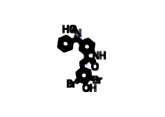 O=C1Nc2ccc(/C(=N/O)c3ccccc3)cc2/C1=C/c1cc(Br)c(O)c(Br)c1